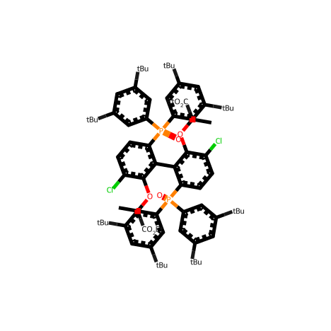 CCOC(=O)C(C)Oc1c(Cl)ccc(P(=O)(c2cc(C(C)(C)C)cc(C(C)(C)C)c2)c2cc(C(C)(C)C)cc(C(C)(C)C)c2)c1-c1c(P(=O)(c2cc(C(C)(C)C)cc(C(C)(C)C)c2)c2cc(C(C)(C)C)cc(C(C)(C)C)c2)ccc(Cl)c1OC(C)C(=O)OCC